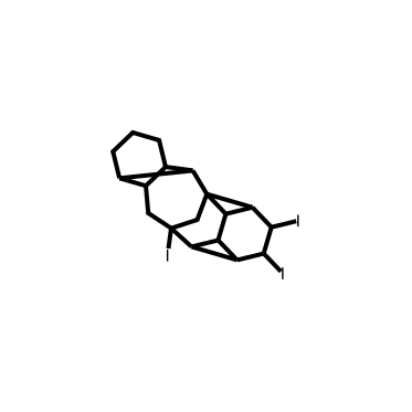 IC1C(I)C2C3C4C1C4C1(I)CC4C5CCCC4C5C23C1